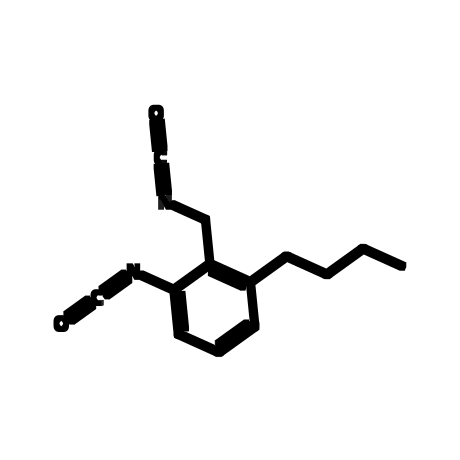 CCCCc1cccc(N=C=O)c1CN=C=O